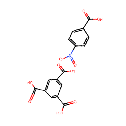 O=C(O)c1cc(C(=O)O)cc(C(=O)O)c1.O=C(O)c1ccc([N+](=O)[O-])cc1